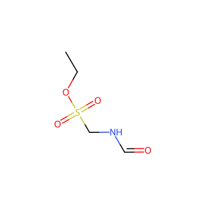 CCOS(=O)(=O)CNC=O